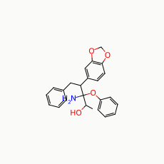 CC(O)C(N)(Oc1ccccc1)C(Cc1ccccc1)c1ccc2c(c1)OCO2